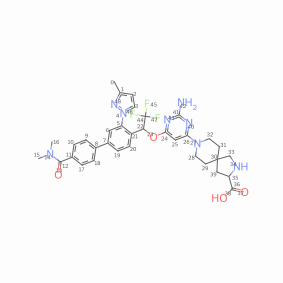 Cc1ccn(-c2cc(-c3ccc(C(=O)N(C)C)cc3)ccc2C(Oc2cc(N3CCC4(CC3)CNC(C(=O)O)C4)nc(N)n2)C(F)(F)F)n1